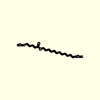 CCCCCCCCCCCCCCCCCCCCCCOC(=O)CCCCCCCCCCCCCC